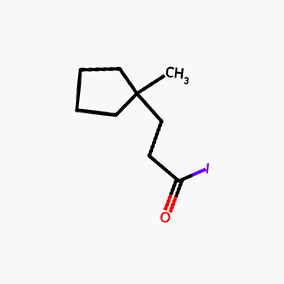 CC1(CCC(=O)I)CCCC1